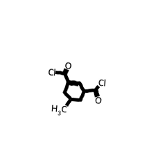 CC1CC(C(=O)Cl)=CC(C(=O)Cl)C1